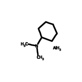 CN(C)C1CCCCC1.[AlH3]